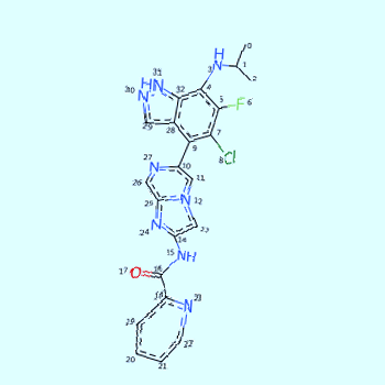 CC(C)Nc1c(F)c(Cl)c(-c2cn3cc(NC(=O)c4ccccn4)nc3cn2)c2cn[nH]c12